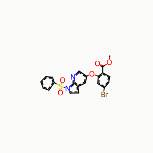 COC(=O)c1ccc(Br)cc1Oc1cnc2c(ccn2S(=O)(=O)c2ccccc2)c1